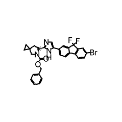 O=C(OCc1ccccc1)N1CC2(CC2)C[C@H]1c1ncc(-c2ccc3c(c2)C(F)(F)c2cc(Br)ccc2-3)[nH]1